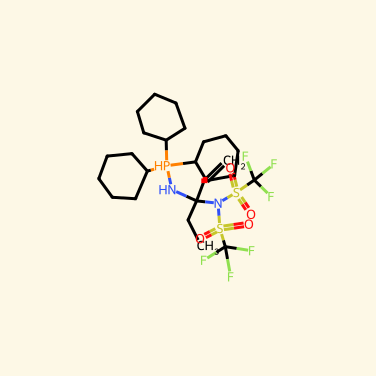 C=CC(CC)(N[PH](C1CCCCC1)(C1CCCCC1)C1CCCCC1)N(S(=O)(=O)C(F)(F)F)S(=O)(=O)C(F)(F)F